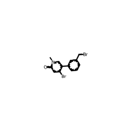 Cn1cc(-c2cccc(CBr)c2)c(Br)cc1=O